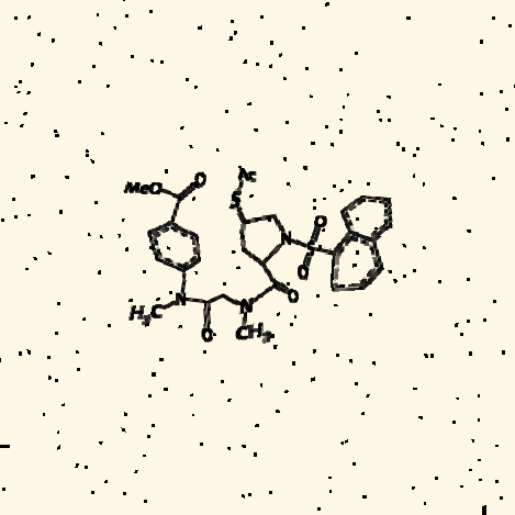 COC(=O)c1ccc(N(C)C(=O)CN(C)C(=O)C2CC(SC(C)=O)CN2S(=O)(=O)c2cccc3ccccc23)cc1